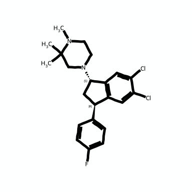 CN1CCN([C@H]2C[C@H](c3ccc(F)cc3)c3cc(Cl)c(Cl)cc32)CC1(C)C